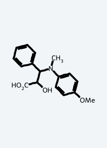 COc1ccc(N(C)C(c2ccccc2)C(O)C(=O)O)cc1